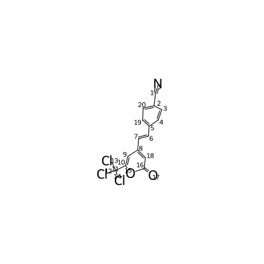 N#Cc1ccc(C=Cc2cc(C(Cl)(Cl)Cl)oc(=O)c2)cc1